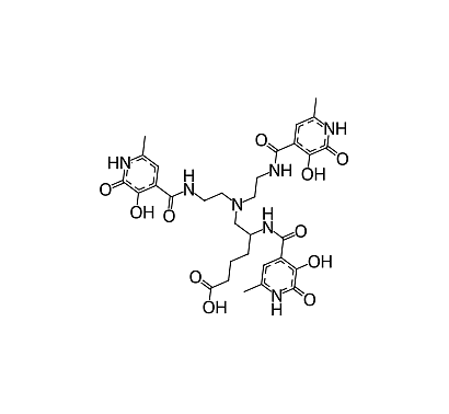 Cc1cc(C(=O)NCCN(CCNC(=O)c2cc(C)[nH]c(=O)c2O)CC(CCCC(=O)O)NC(=O)c2cc(C)[nH]c(=O)c2O)c(O)c(=O)[nH]1